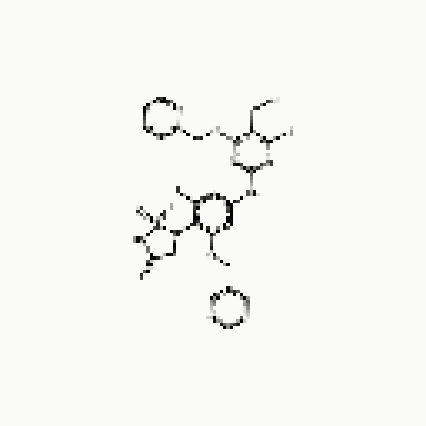 CC(C)Cc1c(Cl)nc(Nc2cc(F)c(N3CC(=O)NS3(=O)=O)c(OCc3ccccc3)c2)nc1OCc1ccccc1